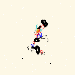 CCOc1ccc(/C(=N\COc2ccc(/C(=N\OS(=O)(=O)C(F)(F)C(F)COC34CC5CC(CC(C5)C3)C4)C(F)(F)F)cc2)C(F)(F)F)cc1